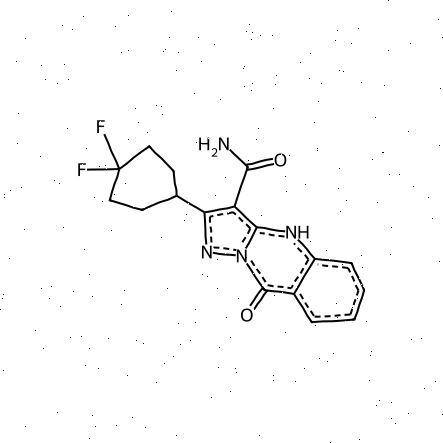 NC(=O)c1c(C2CCC(F)(F)CC2)nn2c(=O)c3ccccc3[nH]c12